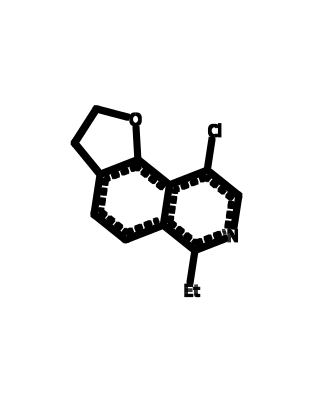 CCc1ncc(Cl)c2c3c(ccc12)CCO3